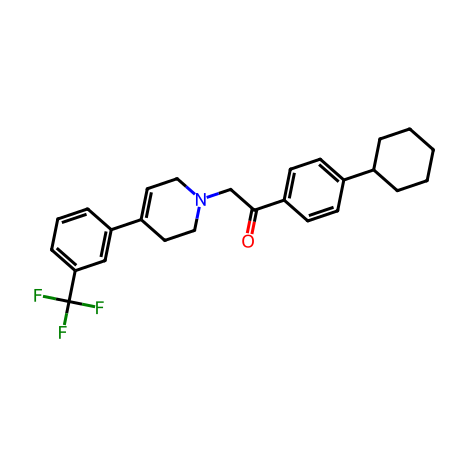 O=C(CN1CC=C(c2cccc(C(F)(F)F)c2)CC1)c1ccc(C2CCCCC2)cc1